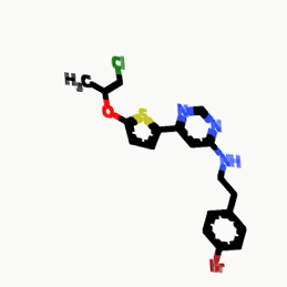 CC(CCl)Oc1ccc(-c2cc(NCCc3ccc(Br)cc3)ncn2)s1